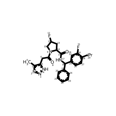 Cc1nn[nH]c1CC(=O)N1CC(F)CC1C(=O)NC(c1ccccc1)c1ccc(C(C)C)c(F)c1